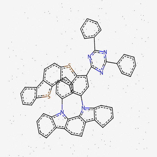 c1ccc(-c2nc(-c3ccccc3)nc(-c3cc(-n4c5ccccc5c5ccc6c7ccccc7n(-c7ccccc7)c6c54)cc4c3sc3ccc5c6ccccc6sc5c34)n2)cc1